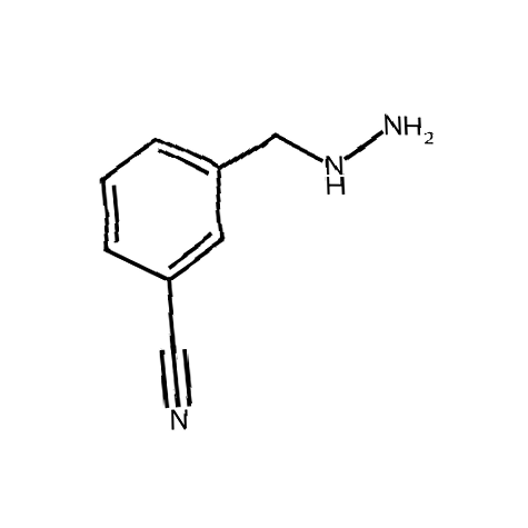 N#Cc1cccc(CNN)c1